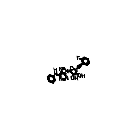 O[C@@H]1[C@H](O)[C@@H](C#Cc2ccccc2F)O[C@H]1n1cnc2c(Nc3ccccc3)ncnc21